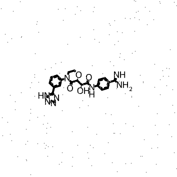 N=C(N)c1ccc(NC(=O)[C@H](O)[C@H]2OCCN(c3cccc(-c4nnn[nH]4)c3)C2=O)cc1